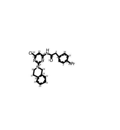 CC(C)c1ccc(CC(=O)Nc2cc(Cl)nc(N3CCc4ccccc4C3)n2)cc1